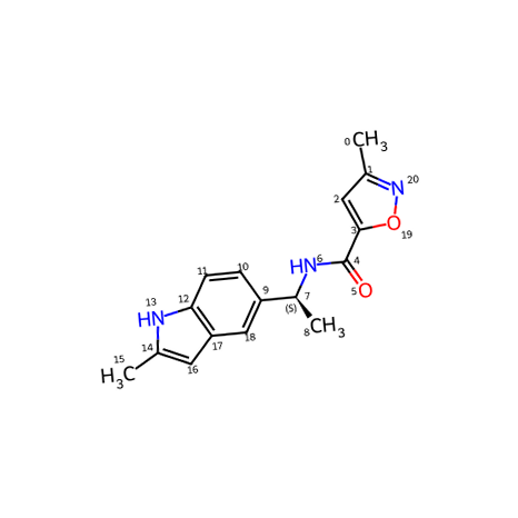 Cc1cc(C(=O)N[C@@H](C)c2ccc3[nH]c(C)cc3c2)on1